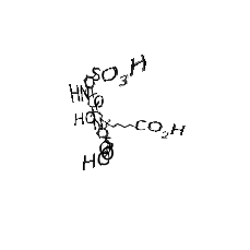 CC1(CCCCCC(=O)O)C(/C=C2/C(=O)C(/C=C3/Nc4ccc(S(=O)(=O)O)cc4C3(C)C)=C2O)=Nc2ccc(SOOO)cc21